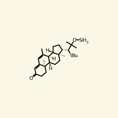 CC1=CC2=CC(=O)CC[C@]2(C)[C@H]2CC[C@]3(C)[C@@H](C(C(C)(C)C)C(C)(C)O[SiH3])CC[C@H]3[C@H]12